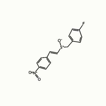 O=[N+]([O-])c1ccc(/C=C/[S+]([O-])Cc2ccc(F)cc2)cc1